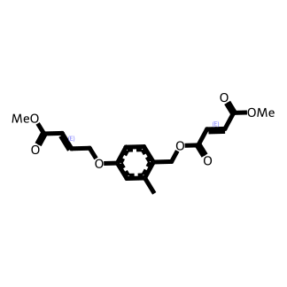 COC(=O)/C=C/COc1ccc(COC(=O)/C=C/C(=O)OC)c(C)c1